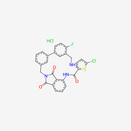 Cl.NCc1cc(-c2cccc(CN3C(=O)c4cccc(NC(=O)c5ccc(Cl)s5)c4C3=O)c2)ccc1F